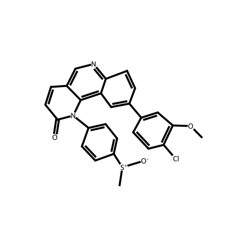 COc1cc(-c2ccc3ncc4ccc(=O)n(-c5ccc([S+](C)[O-])cc5)c4c3c2)ccc1Cl